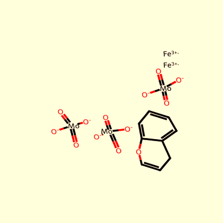 C1=COc2ccccc2C1.[Fe+3].[Fe+3].[O]=[Mo](=[O])([O-])[O-].[O]=[Mo](=[O])([O-])[O-].[O]=[Mo](=[O])([O-])[O-]